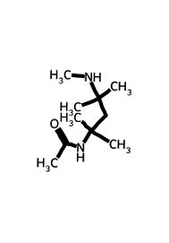 CNC(C)(C)CC(C)(C)NC(C)=O